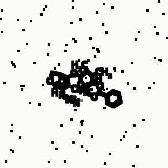 CC1[C@H](O[C@@H]2C3CO[C@H](O3)C(N=[N+]=[N-])[C@H]2C)O[C@H]2COC(c3ccccc3)O[C@H]2[C@@H]1C